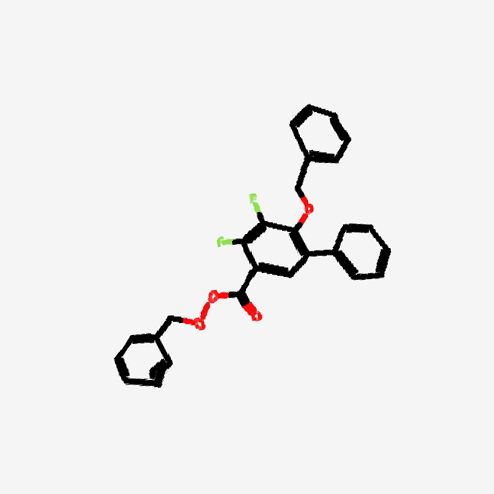 O=C(OOCc1ccccc1)c1cc(-c2ccccc2)c(OCc2ccccc2)c(F)c1F